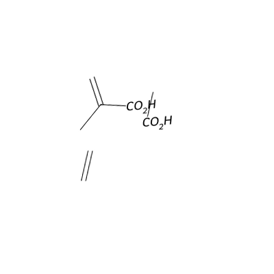 C=C.C=C(C)C(=O)O.CC(=O)O